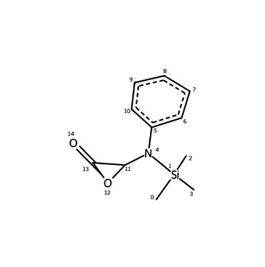 C[Si](C)(C)N(c1ccccc1)C1OC1=O